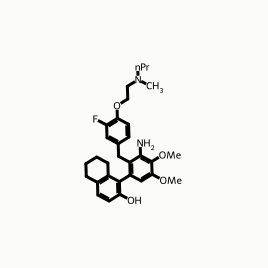 CCCN(C)CCOc1ccc(Cc2c(-c3c(O)ccc4c3CCCC4)cc(OC)c(OC)c2N)cc1F